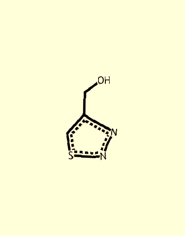 OCc1csnn1